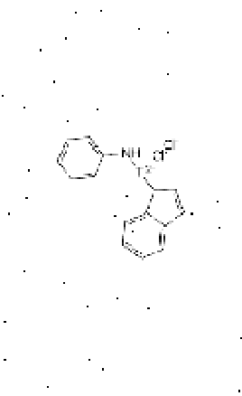 C1=C[CH]([Ti+2][NH]c2ccccc2)c2ccccc21.[Cl-].[Cl-]